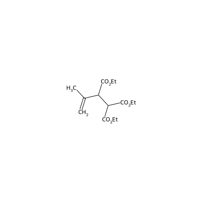 C=C(C)C(C(=O)OCC)C(C(=O)OCC)C(=O)OCC